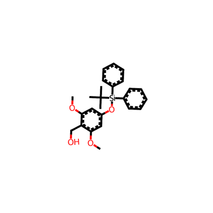 COc1cc(O[Si](c2ccccc2)(c2ccccc2)C(C)(C)C)cc(OC)c1CO